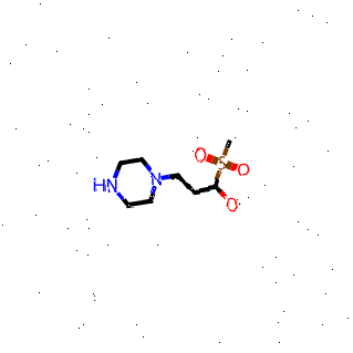 CS(=O)(=O)C([O])CCN1CCNCC1